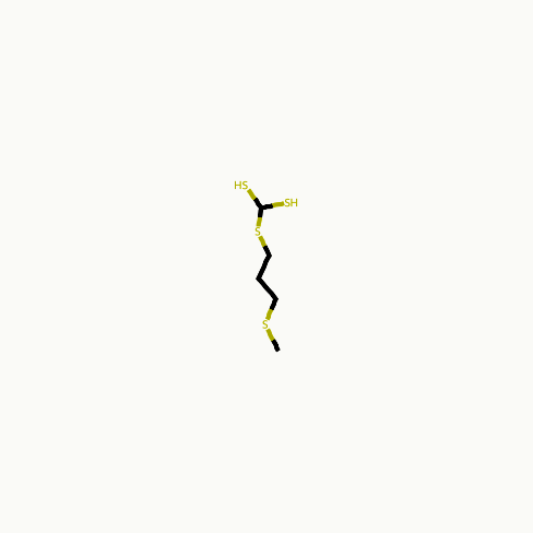 CSCCCSC(S)S